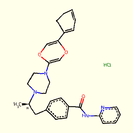 C[C@H](Cc1ccc(C(=O)Nc2ccccn2)cc1)N1CCN(C2=COC(C3=CC=CCC3)=CO2)CC1.Cl